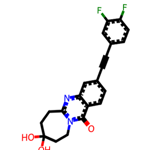 O=c1c2ccc(C#Cc3ccc(F)c(F)c3)cc2nc2n1CCC(O)(O)CC2